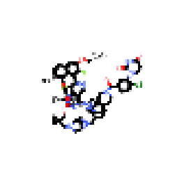 COCOc1cc2ccc(C(C)(C)C)c(C#C[Si](C(C)C)(C(C)C)C(C)C)c2c(-c2ncc3c(N4CC5CCC(C4)N5C(=O)O)nc(OCC4(CN5CC6CC5CN6CC5CCC6(CC5)CCN(C(=O)c5ccc(Cl)c(N7CCC(=O)NC7=O)c5)CC6)CC4)nc3c2F)c1F